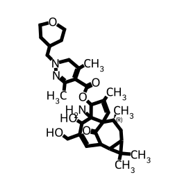 CC1=CC23C(=O)C(C=C(CO)C(O)C2(N)C1OC(=O)C1=C(C)CN(CC2CCOCC2)N=C1C)C1C(C[C@H]3C)C1(C)C